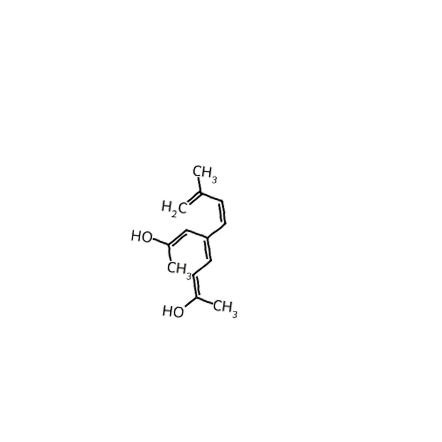 C=C(C)\C=C/C(=C/C=C(\C)O)/C=C(\C)O